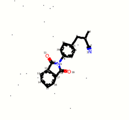 CC(C#N)Cc1ccc(N2C(=O)c3ccccc3C2=O)cc1